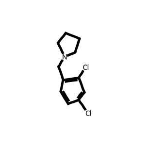 Clc1ccc(CN2CCCC2)c(Cl)c1